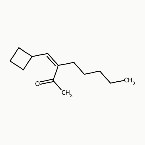 CCCCCC(=CC1CCC1)C(C)=O